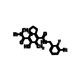 C=C1C(O)=C(C(=O)N(C)CC)N2CCCC2=C1C(=O)NCc1cccc(CC)c1F